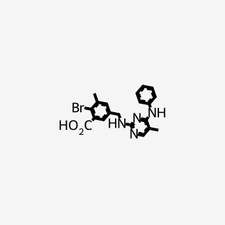 Cc1cnc(NCc2cc(C)c(Br)c(C(=O)O)c2)nc1Nc1ccccc1